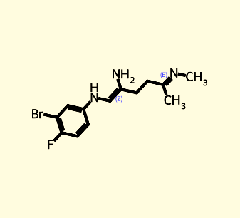 C/N=C(\C)CC/C(N)=C/Nc1ccc(F)c(Br)c1